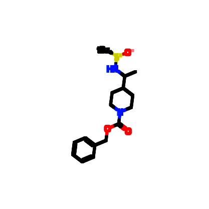 CC(N[S@+]([O-])C(C)(C)C)C1CCN(C(=O)OCc2ccccc2)CC1